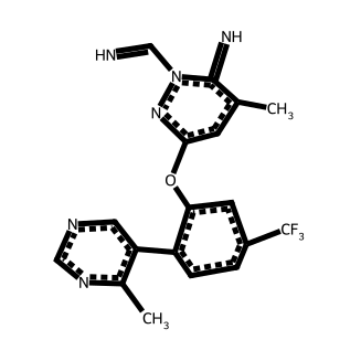 Cc1ncncc1-c1ccc(C(F)(F)F)cc1Oc1cc(C)c(=N)n(C=N)n1